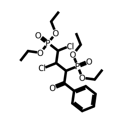 CCOP(=O)(OCC)C(Cl)C(Cl)C(C(=O)c1ccccc1)P(=O)(OCC)OCC